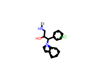 CCNCC(O)C(c1ccccc1)n1ccc2ccccc21.Cl